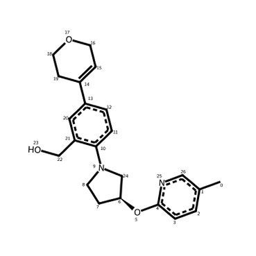 Cc1ccc(O[C@H]2CCN(c3ccc(C4=CCOCC4)cc3CO)C2)nc1